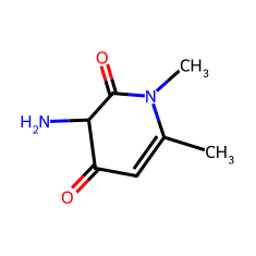 CC1=CC(=O)C(N)C(=O)N1C